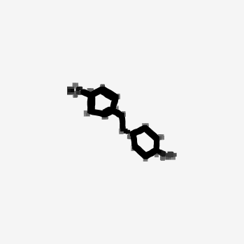 CCC[C@H]1CC[C@H](CCc2ccc(C)cc2)CC1